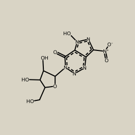 O=c1c2c(nnn1C1OC(CO)C(O)C1O)c([N+](=O)[O-])nn2O